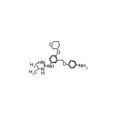 CC(C)NC(=N)Nc1ccc(OC2CCCOC2)c(COc2ccc(N)cc2)c1